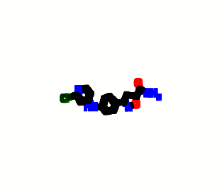 NC(=O)C1CC(c2ccc(Nc3ccnc(Cl)c3)cc2)=NO1